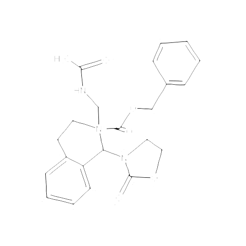 CC(=O)NC[N+]1(C(=O)OCc2ccccc2)CCc2ccccc2C1N1CCOC1=O